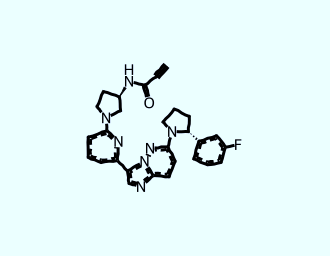 C#CC(=O)N[C@@H]1CCN(c2cccc(-c3cnc4ccc(N5CCC[C@@H]5c5cccc(F)c5)nn34)n2)C1